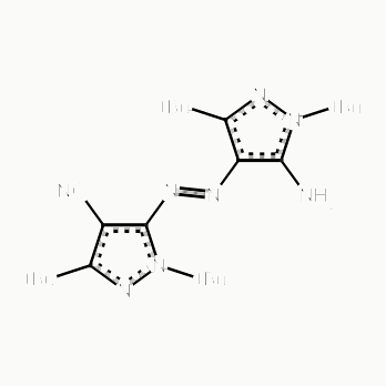 CC(C)(C)c1nn(C(C)(C)C)c(N=Nc2c(C(C)(C)C)nn(C(C)(C)C)c2N)c1C#N